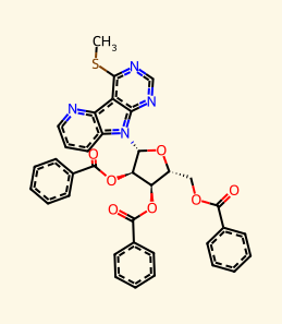 CSc1ncnc2c1c1ncccc1n2[C@@H]1O[C@H](COC(=O)c2ccccc2)[C@@H](OC(=O)c2ccccc2)[C@H]1OC(=O)c1ccccc1